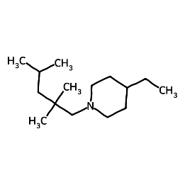 CCC1CCN(CC(C)(C)CC(C)C)CC1